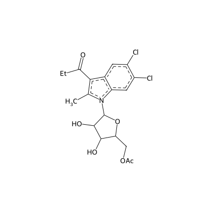 CCC(=O)c1c(C)n(C2OC(COC(C)=O)C(O)C2O)c2cc(Cl)c(Cl)cc12